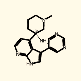 CN1CCC[C@](N)(c2ccnc3[nH]cc(-c4cncnc4)c23)C1